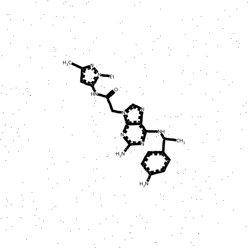 CCn1nc(C)cc1NC(=O)Cn1cnc2c(NC(C)c3ccc(N)cc3)nc(N)nc21